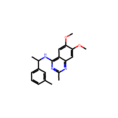 COc1cc2nc(C)nc(NC(C)c3cccc(C)c3)c2cc1OC